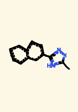 Cc1nnc(-c2ccc3ccccc3c2)[nH]1